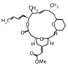 C=C/C=C/[C@@H]1OC(=O)C[C@@H]2C/C(=C\C(=O)OC)C[C@H](C[C@@H]3CCCC(C[C@@H](C)/C=C/[C@@H]1C)O3)O2